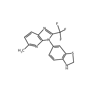 Cc1ccc2nc(C(F)(F)F)n(-c3ccc4c(c3)SCN4)c2n1